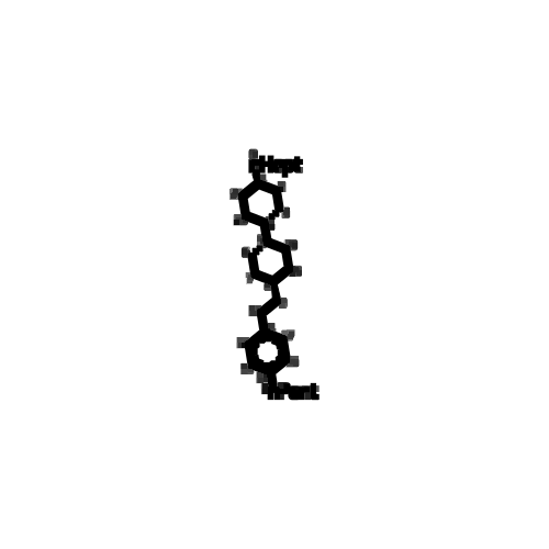 CCCCCCC[C@H]1CC[C@H]([C@H]2CC[C@H](CCc3ccc(CCCCC)cc3)CC2)CC1